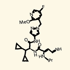 COc1ncc(F)cc1Cn1cc(NC(=O)[C@@H](NC(=O)/C(=C/C=N)NC(C)C)C(C2CC2)C2CC2)cn1